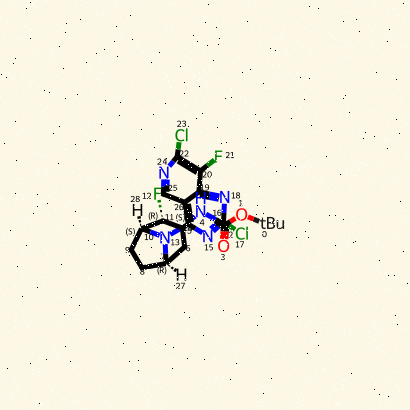 CC(C)(C)OC(=O)N[C@H]1C[C@H]2CC[C@@H]([C@@H]1F)N2c1nc(Cl)nc2c(F)c(Cl)ncc12